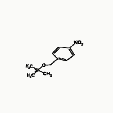 C[Si](C)(C)OCc1ccc([N+](=O)[O-])cc1